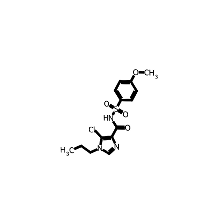 CCCn1cnc(C(=O)NS(=O)(=O)c2ccc(OC)cc2)c1Cl